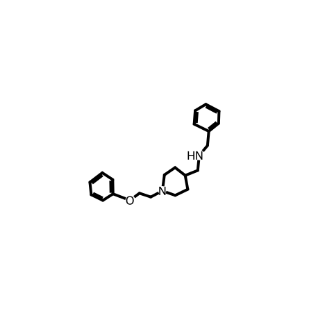 c1ccc(CNCC2CCN(CCOc3ccccc3)CC2)cc1